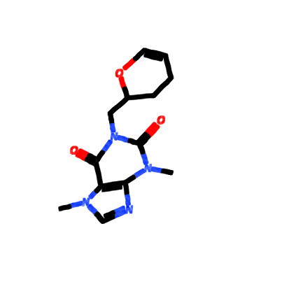 Cn1cnc2c1c(=O)n(CC1CCC=CO1)c(=O)n2C